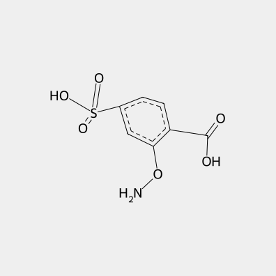 NOc1cc(S(=O)(=O)O)ccc1C(=O)O